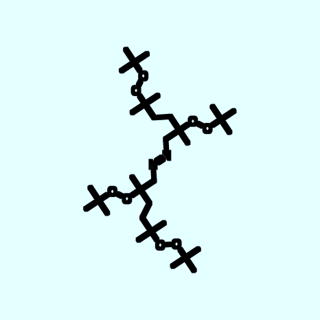 CC(C)(C)OOC(C)(C)CCC(C)(CN=NCC(C)(CCC(C)(C)OOC(C)(C)C)OOC(C)(C)C)OOC(C)(C)C